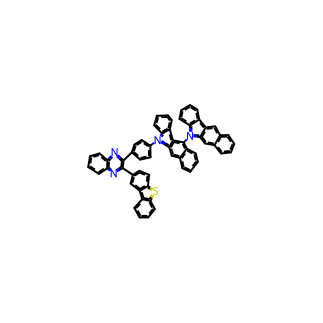 c1ccc2cc3c(cc2c1)c1ccccc1n3-c1c2ccccc2cc2c1c1ccccc1n2-c1ccc(-c2nc3ccccc3nc2-c2ccc3sc4ccccc4c3c2)cc1